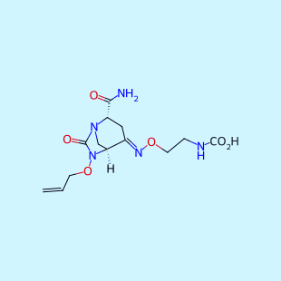 C=CCON1C(=O)N2C[C@H]1C(=NOCCNC(=O)O)C[C@H]2C(N)=O